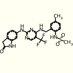 Cc1ccc(NS(C)(=O)=O)c(CNc2nc(Nc3ccc4c(c3)NC(=O)C4)ncc2C(F)(F)F)c1